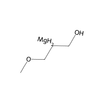 COCCCO.[MgH2]